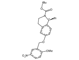 COc1ccc([N+](=O)[O-])cc1COc1ccc2c(c1)CCN(C(=O)OC(C)(C)C)[C@H]2C(C)C